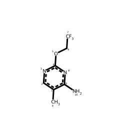 Cc1cnc(OCC(F)(F)F)nc1N